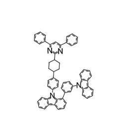 c1ccc(-c2cc(-c3ccccc3)nc(C3CCC(c4ccc(-n5c6ccccc6c6cccc(-c7cccc(-n8c9ccccc9c9ccccc98)c7)c65)cc4)CC3)n2)cc1